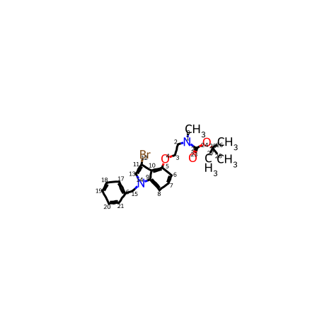 CN(CCOc1cccc2c1c(Br)cn2Cc1ccccc1)C(=O)OC(C)(C)C